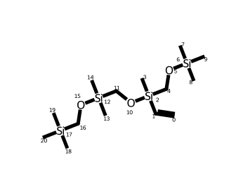 C=C[Si](C)(CO[Si](C)(C)C)OC[Si](C)(C)OC[Si](C)(C)C